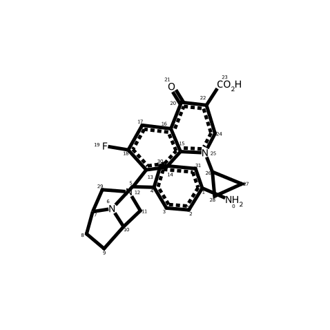 Nc1ccc(CN2C3CCC2CN(c2cc4c(cc2F)c(=O)c(C(=O)O)cn4C2CC2)C3)cc1